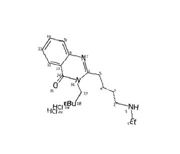 CCNCCCCc1nc2ccccc2c(=O)n1CC(C)(C)C.Cl.Cl